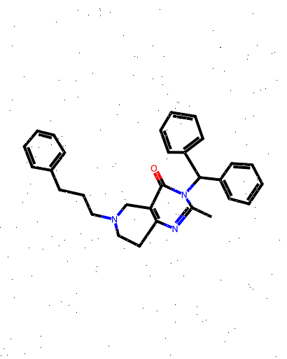 Cc1nc2c(c(=O)n1C(c1ccccc1)c1ccccc1)CN(CCCc1ccccc1)CC2